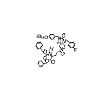 CC(C)COc1ccc(CNC(=O)N(Cc2ccc(F)cc2)C2CCN(C(=O)CC[C@H](NC(=O)OCc3ccccc3)C(=O)OCc3ccccc3)CC2)cc1